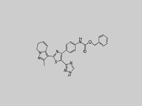 Cc1nn2c(c1-c1nc(-c3ccc(NC(=O)OCc4ccccc4)cc3)c(-c3nc[nH]n3)s1)C=CCC2